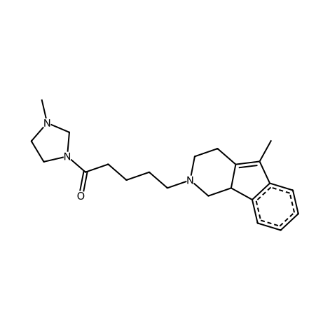 CC1=C2CCN(CCCCC(=O)N3CCN(C)C3)CC2c2ccccc21